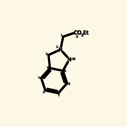 CCOC(=O)CN1Cc2ccccc2[N]1